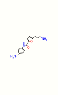 NCCCc1ccc(C(=O)Nc2ccc(CN)cc2)o1